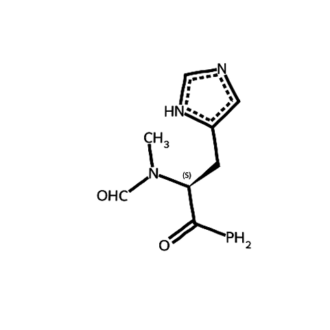 CN(C=O)[C@@H](Cc1cnc[nH]1)C(=O)P